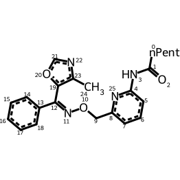 CCCCCC(=O)Nc1cccc(CO/N=C(/c2ccccc2)c2ocnc2C)n1